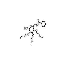 CCCCOC1C(OCCCC)[C@H](O)OC(COC(=O)c2ccccc2)[C@H]1OCCCC